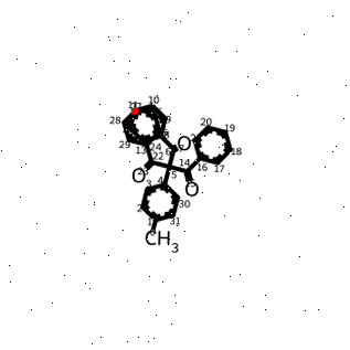 Cc1ccc(C(C(=O)c2ccccc2)(C(=O)c2ccccc2)C(=O)c2ccccc2)cc1